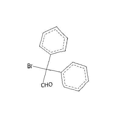 O=CC(Br)(c1ccccc1)c1ccccc1